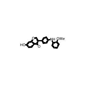 COc1ccccc1Nc1ccc(-c2coc3cc(O)ccc3c2=O)cc1